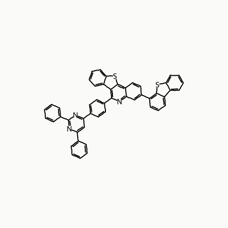 c1ccc(-c2cc(-c3ccc(-c4nc5cc(-c6cccc7c6sc6ccccc67)ccc5c5sc6ccccc6c45)cc3)nc(-c3ccccc3)n2)cc1